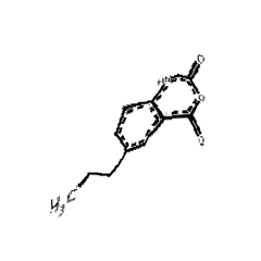 CCCc1ccc2[nH]c(=O)oc(=O)c2c1